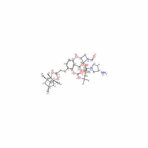 CC(C)(C)OC(=O)Oc1c(CCB2O[C@@H]3C[C@@H]4C[C@@H](C4(C)C)[C@]3(C)O2)ccc(OC2CN(C(=O)[C@@H]3C[C@H](N)CN3C(=O)O)C2)c1C(=O)OC(C)(C)C